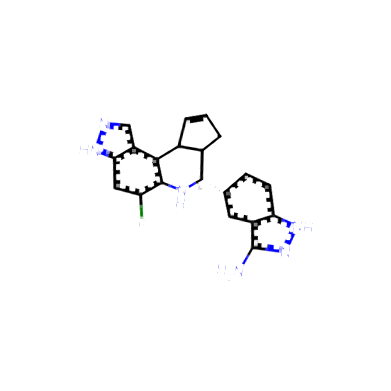 Nc1n[nH]c2ccc([C@@H]3Nc4c(F)cc5[nH]ncc5c4C4C=CCC43)cc12